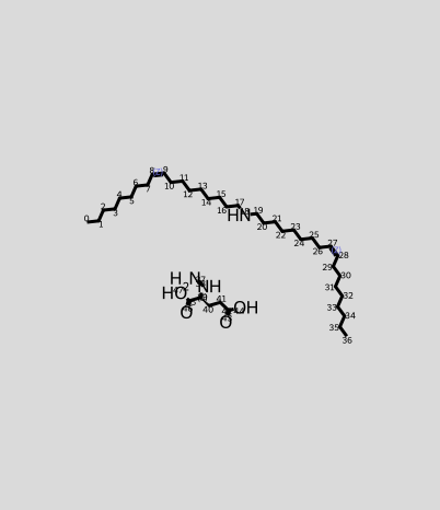 CCCCCCCC/C=C\CCCCCCCCNCCCCCCCC/C=C\CCCCCCCC.NN[C@@H](CCC(=O)O)C(=O)O